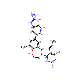 C/C=C/c1c(Cl)nc(N)nc1N1CCOc2c(C)cc(-c3cnc4sc(N)nc4c3)cc2C1